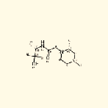 C[C@@H]1CN(C)CCN1CC(=O)N[C@@H](C)C(C)(C)O